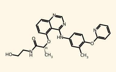 Cc1cc(Nc2ncnc3cccc(O[C@H](C)C(=O)NCCO)c23)ccc1Oc1ccccn1